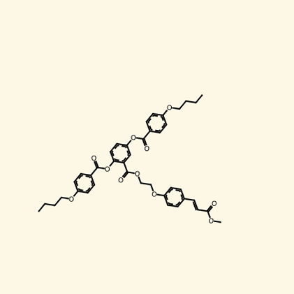 CCCCOc1ccc(C(=O)Oc2ccc(OC(=O)c3ccc(OCCCC)cc3)c(C(=O)OCCOc3ccc(C=CC(=O)OC)cc3)c2)cc1